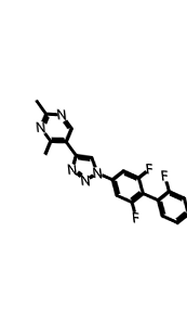 Cc1ncc(-c2cn(-c3cc(F)c(-c4ccccc4F)c(F)c3)nn2)c(C)n1